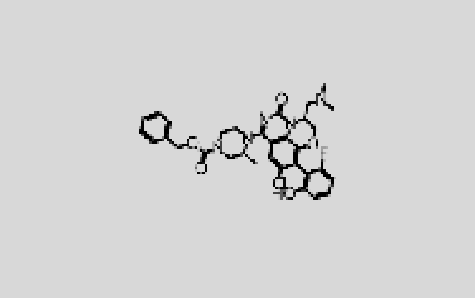 C[C@H]1CN(C(=O)OCc2ccccc2)CCN1c1nc(=O)n2c3c(c(-c4c(O)cccc4F)c(Cl)cc13)OC[C@@H]2CN(C)C